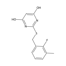 Cc1cccc(CSc2nc(O)cc(O)n2)c1F